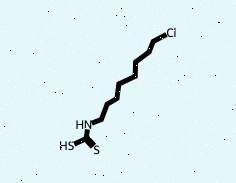 S=C(S)NCCCCCCCCCl